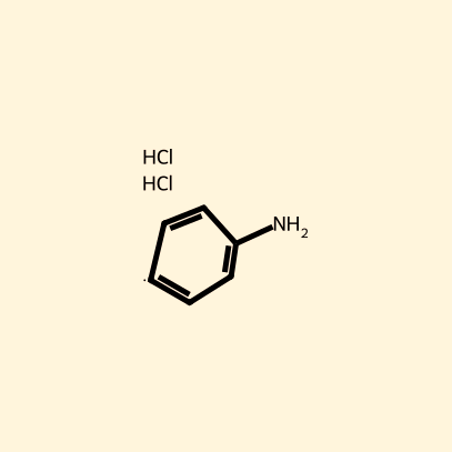 Cl.Cl.Nc1cc[c]cc1